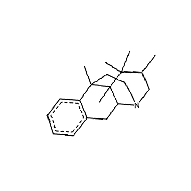 CC1CN2CCC3(C)c4ccccc4CC2C3(C)C1(C)C